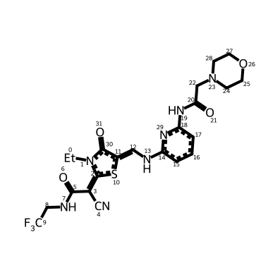 CCn1c(=C(C#N)C(=O)NCC(F)(F)F)sc(=CNc2cccc(NC(=O)CN3CCOCC3)n2)c1=O